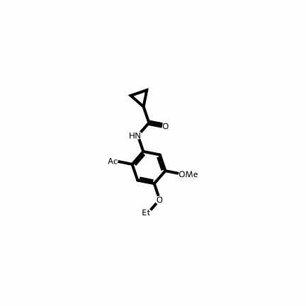 CCOc1cc(C(C)=O)c(NC(=O)C2CC2)cc1OC